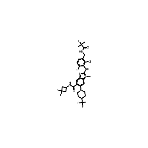 Cn1c(Nc2c(Cl)ccc(CNC(=O)C(C)(C)F)c2Cl)nc2cc(C(=O)NC3CC(F)(F)C3)c(N3CCC(C(F)(F)F)CC3)cc21